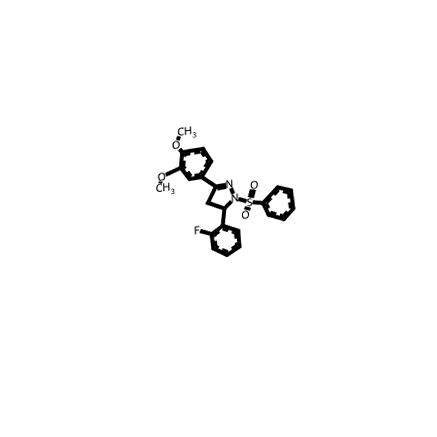 COc1ccc(C2=NN(S(=O)(=O)c3ccccc3)C(c3ccccc3F)C2)cc1OC